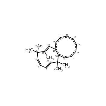 CC(=O)C1(C)/C=C\C=C\C(C)(C)c2ccccccccc2/C=C/1C